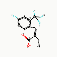 CCC(=Cc1ccc(F)cc1C(F)(F)F)C(=O)O